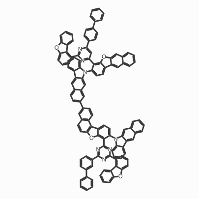 c1ccc(-c2ccc(-c3cc(-c4c(-n5c6ccccc6c6cc7ccc(-c8ccc9c(ccc%10oc%11c(-c%12nc(-c%13cccc(-c%14ccccc%14)c%13)nc(-c%13cccc%14oc%15ccccc%15c%13%14)n%12)c(-n%12c%13ccccc%13c%13cc%14ccccc%14cc%13%12)ccc%11c%109)c8)cc7cc65)ccc5c4oc4cc6ccccc6cc45)nc(-c4cccc5oc6ccccc6c45)n3)cc2)cc1